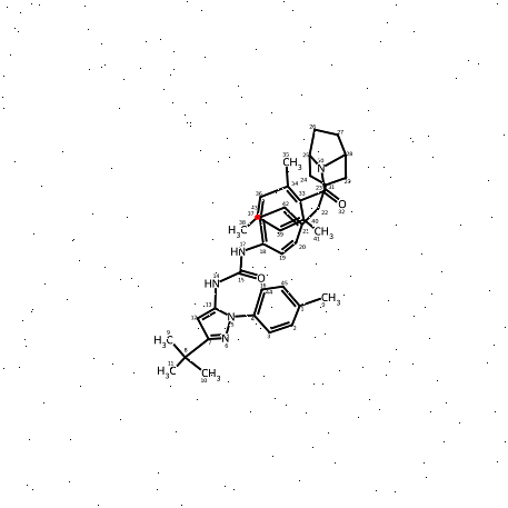 Cc1ccc(-n2nc(C(C)(C)C)cc2NC(=O)Nc2ccc(CC3CC4CCC(C3)N4C(=O)c3c(C)cc(C)cc3C)cc2)cc1